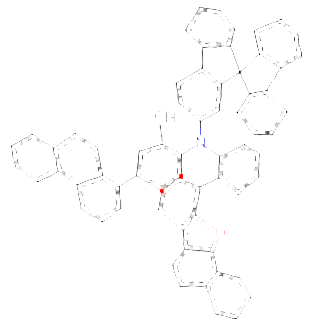 Cc1cc(-c2cccc3c2ccc2ccccc23)ccc1N(c1ccc2c(c1)C1(c3ccccc3-c3ccccc31)c1ccccc1-2)c1ccccc1-c1cccc2c1oc1c3ccccc3ccc21